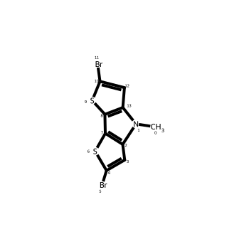 Cn1c2cc(Br)sc2c2sc(Br)cc21